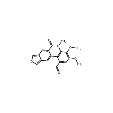 COc1cc(C=O)c(-c2cc3cocc3cc2C=O)c(OC)c1OC